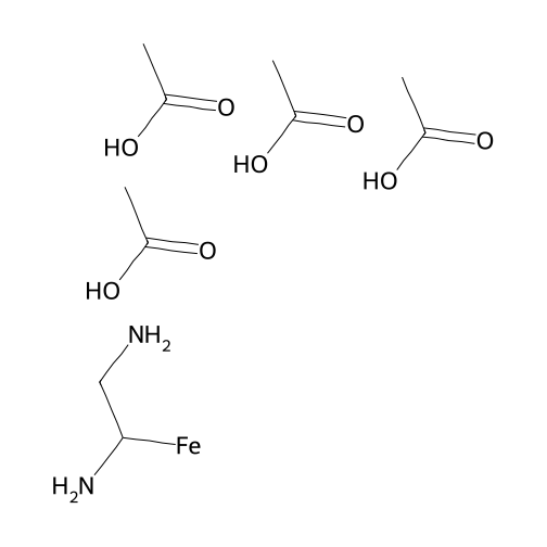 CC(=O)O.CC(=O)O.CC(=O)O.CC(=O)O.NC[CH](N)[Fe]